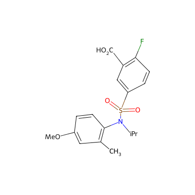 COc1ccc(N(C(C)C)S(=O)(=O)c2ccc(F)c(C(=O)O)c2)c(C)c1